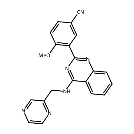 COc1ccc(C#N)cc1-c1nc(NCc2cnccn2)c2ccccc2n1